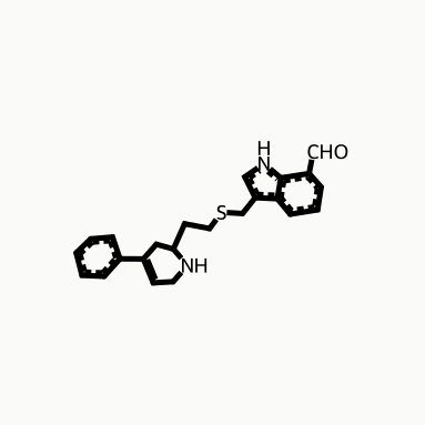 O=Cc1cccc2c(CSCCC3CC(c4ccccc4)=CCN3)c[nH]c12